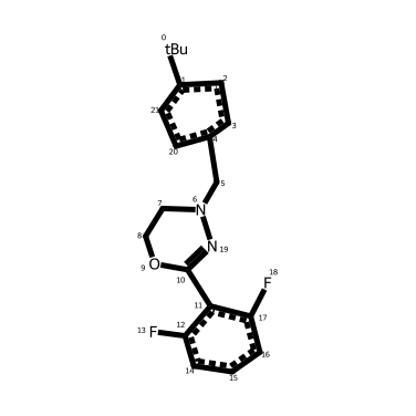 CC(C)(C)c1ccc(CN2CCOC(c3c(F)cccc3F)=N2)cc1